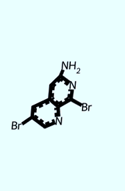 Nc1cc2cc(Br)cnc2c(Br)n1